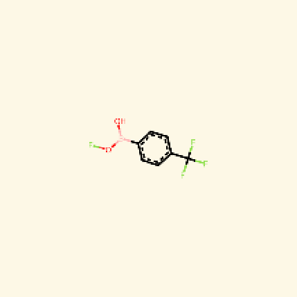 OB(OF)c1ccc(C(F)(F)F)cc1